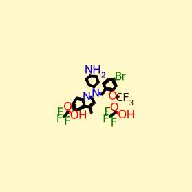 Cc1cc(N(Cc2ccc(Br)cc2OC(F)(F)F)[C@H]2CC[C@@H](N)CC2)nc2ccccc12.O=C(O)C(F)(F)F.O=C(O)C(F)(F)F